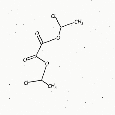 CC(Cl)OC(=O)C(=O)OC(C)Cl